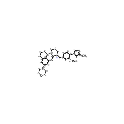 COc1cc(/C=C2\CCCN(C3CCCc4cc(N5CCOCC5)ccc43)C2=O)ccc1-n1cnc(C)c1